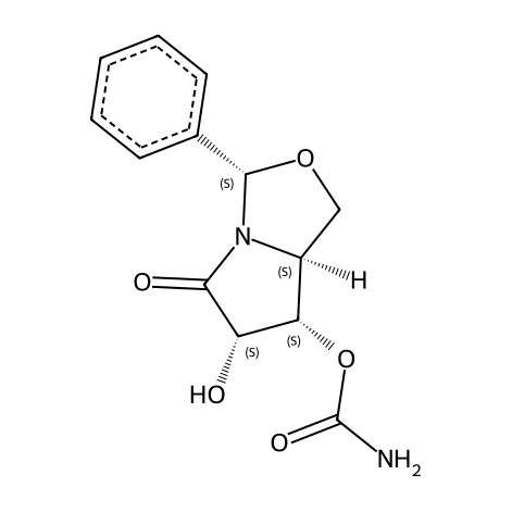 NC(=O)O[C@@H]1[C@H](O)C(=O)N2[C@H](c3ccccc3)OC[C@@H]12